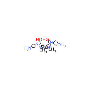 C[N+](C)(CCC[N+](C)(C)CC1CC(O)CN1c1ccc(N)cc1)CC1CC(O)CN1c1ccc(N)cc1